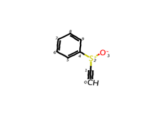 C#C[S+]([O-])c1ccccc1